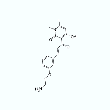 Cc1cc(O)c(C(=O)/C=C/c2cccc(OCCN)c2)c(=O)n1C